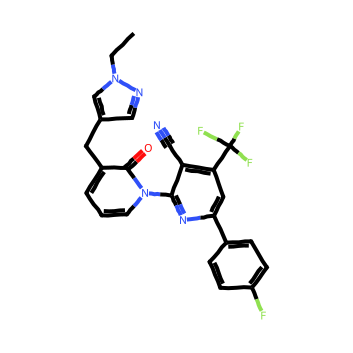 CCn1cc(Cc2cccn(-c3nc(-c4ccc(F)cc4)cc(C(F)(F)F)c3C#N)c2=O)cn1